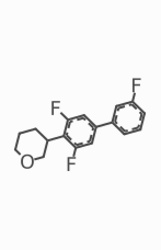 Fc1cccc(-c2cc(F)c(C3CCCOC3)c(F)c2)c1